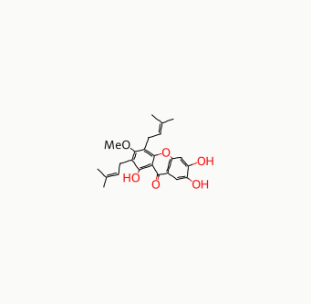 COc1c(CC=C(C)C)c(O)c2c(=O)c3cc(O)c(O)cc3oc2c1CC=C(C)C